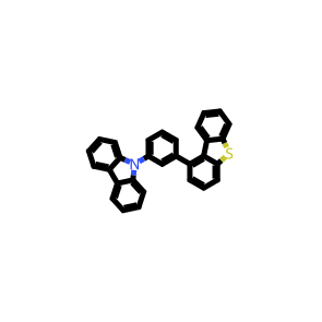 c1cc(-c2cccc3sc4ccccc4c23)cc(-n2c3ccccc3c3ccccc32)c1